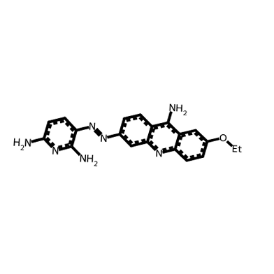 CCOc1ccc2nc3cc(/N=N/c4ccc(N)nc4N)ccc3c(N)c2c1